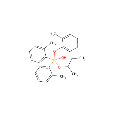 CCC(C)OP(O)(Oc1ccccc1C)(c1ccccc1C)c1ccccc1C